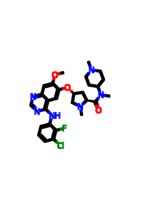 COc1cc2ncnc(Nc3cccc(Cl)c3F)c2cc1O[C@H]1C[C@@H](C(=O)N(C)C2CCN(C)CC2)N(C)C1